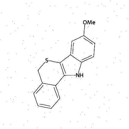 COc1ccc2[nH]c3c(c2c1)SCc1ccccc1-3